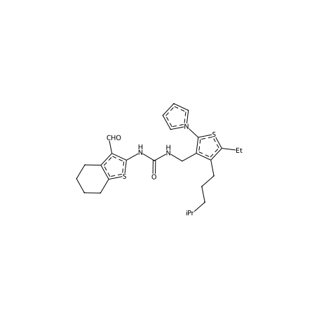 CCc1sc(-n2cccc2)c(CNC(=O)Nc2sc3c(c2C=O)CCCC3)c1CCCC(C)C